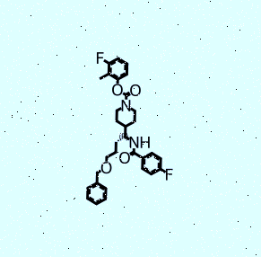 Cc1c(F)cccc1OC(=O)N1CCC([C@@H](CCCOCc2ccccc2)NC(=O)c2ccc(F)cc2)CC1